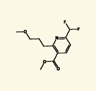 COCCCc1nc(C(F)F)ccc1C(=O)OC